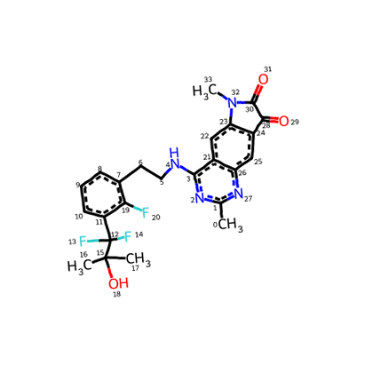 Cc1nc(NCCc2cccc(C(F)(F)C(C)(C)O)c2F)c2cc3c(cc2n1)C(=O)C(=O)N3C